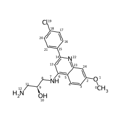 COc1ccc2c(NC[C@@H](O)CN)cc(-c3ccc(Cl)cc3)nc2c1